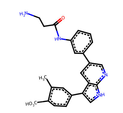 Cc1cc(-c2c[nH]c3ncc(-c4cccc(NC(=O)CCN)c4)cc23)ccc1C(=O)O